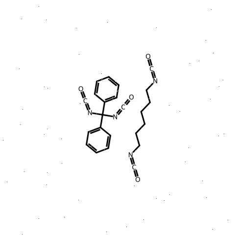 O=C=NC(N=C=O)(c1ccccc1)c1ccccc1.O=C=NCCCCCCN=C=O